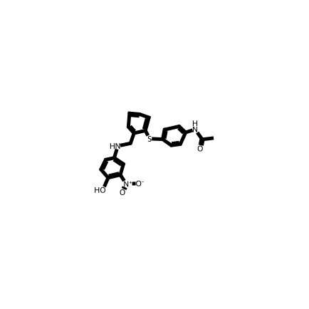 CC(=O)Nc1ccc(Sc2ccccc2CNc2ccc(O)c([N+](=O)[O-])c2)cc1